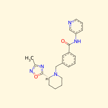 Cc1noc([C@H]2CCCCN2Cc2cccc(C(=O)Nc3cccnc3)c2)n1